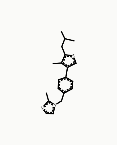 Cc1c(-c2ccc(Cn3ccnc3C)cc2)csc1CC(C)C